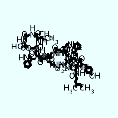 CCC(C)CCC(=O)N[C@H](CC(N)=O)C(=O)N[C@H](Cc1ccc(O)cc1)C(=O)N[C@H](Cc1c[nH]c2ccccc12)C(=O)N[C@H](CCCN)C(=O)N[C@@H](CCCN)C(=O)NCC(=O)N[C@H](CCCN)C(=O)N[C@@H](Cc1c[nH]c2ccccc12)C(=O)N[C@@H]1C(=O)N[C@@H]([C@@H](C)CC)C(=O)NCC(=O)N[C@H](CO)C(=O)O[C@@H]1C